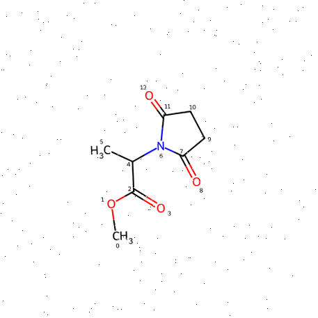 COC(=O)C(C)N1C(=O)CCC1=O